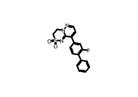 O=S1(=O)CCN2N=CC=C(c3ccc(-c4ccccc4)c(F)c3)C2=N1